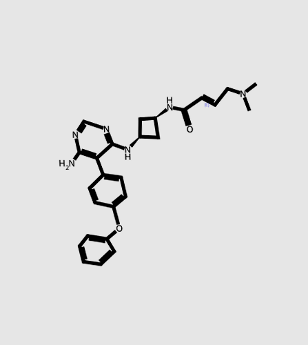 CN(C)C/C=C/C(=O)N[C@H]1C[C@@H](Nc2ncnc(N)c2-c2ccc(Oc3ccccc3)cc2)C1